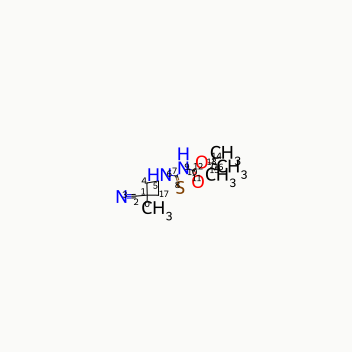 CC1(C#N)CC(NC(=S)NC(=O)OC(C)(C)C)C1